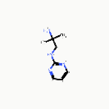 CC(C)(N)CNc1ncccn1